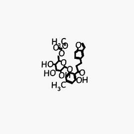 COC(=O)OCC1OC(Oc2cc(C)cc(O)c2C(=O)CCc2ccc3occc3c2)C(O)C(O)C1O